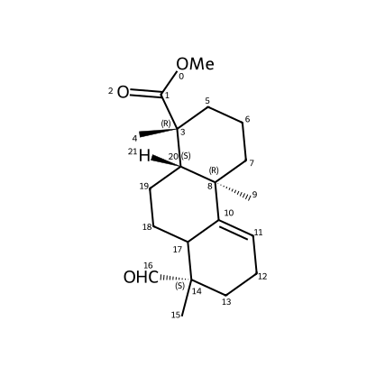 COC(=O)[C@]1(C)CCC[C@@]2(C)C3=CCC[C@](C)(C=O)C3CC[C@H]12